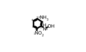 N.O=[N+]([O-])c1ccccc1NO